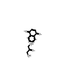 O=C(CO)CO.O=C1C=CC(=O)c2ccccc21